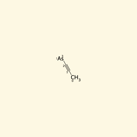 CC#C[As]